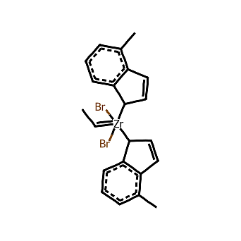 C[CH]=[Zr]([Br])([Br])([CH]1C=Cc2c(C)cccc21)[CH]1C=Cc2c(C)cccc21